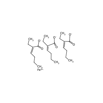 CCCC=C(CC)C(=O)[O-].CCCC=C(CC)C(=O)[O-].CCCC=C(CC)C(=O)[O-].[Fe+3]